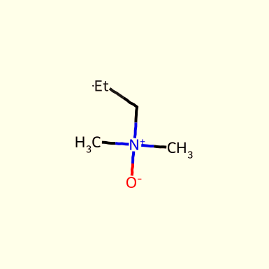 C[CH]C[N+](C)(C)[O-]